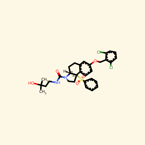 CC(C)(O)CCNC(=O)N1CC[C@@]2(S(=O)(=O)c3ccccc3)c3ccc(OCc4c(Cl)cccc4Cl)cc3CC[C@@H]12